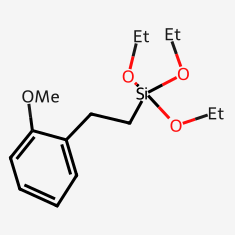 CCO[Si](CCc1ccccc1OC)(OCC)OCC